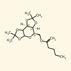 C=C(CCCC)OC[C@H]1OC2OC(C)(C)OC2[C@H]2OC(C)(C)O[C@H]21